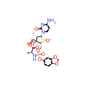 CC(C)OC(=O)[C@H](C)N[P@](=O)(OC[C@@H]1[C@@H](O)[C@H](F)[C@H](n2ccc(N)nc2=O)[S+]1[O-])Oc1ccc2c(c1)OCO2